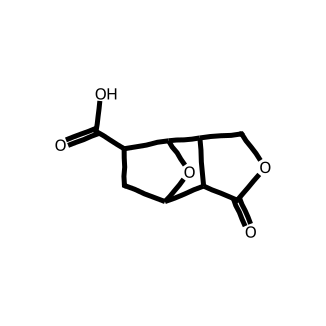 O=C(O)C1CC2OC1C1COC(=O)C21